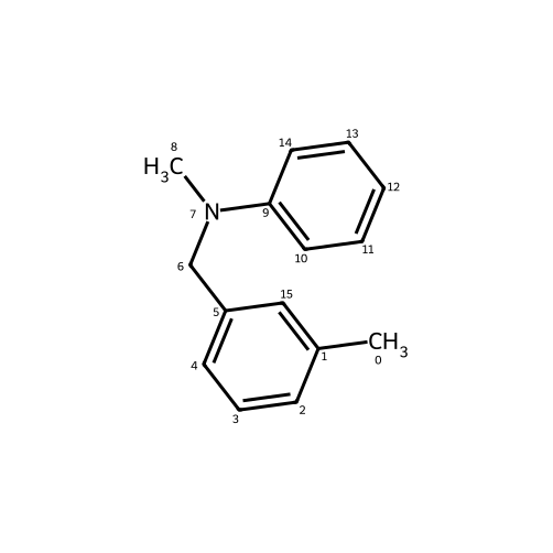 Cc1cccc(CN(C)c2ccccc2)c1